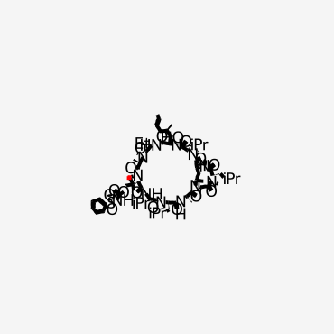 C/C=C/C[C@@H](C)[C@H]1ON2C(=O)[C@H](C(C)C)N(C)C(=O)[C@@H]3CC(C)N(C(=O)[C@H](C)NC(=O)[C@H](CC(C)C)N(C)C(=O)[C@H](C(C)C)NC(=O)[C@H](C(C)(C)COC(=O)NS(=O)(=O)c4ccccc4)N(C)C(=O)[C@@H](C)N(C)C(=O)[C@H](CC)NC(=O)[C@H]12)[C@H](C)C(=O)N(C)[C@@H](CC(C)C)C(=O)N3C